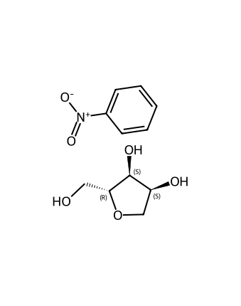 O=[N+]([O-])c1ccccc1.OC[C@H]1OC[C@H](O)[C@@H]1O